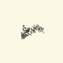 CC(C)(O)CN1C(=O)CCN1C(=O)N1CCC2(S(=O)(=O)c3cccc(F)c3)c3ccc(C(F)(C(F)(F)F)C(F)(F)F)nc3CCC12